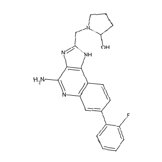 Nc1nc2cc(-c3ccccc3F)ccc2c2[nH]c(CN3CCCC3O)nc12